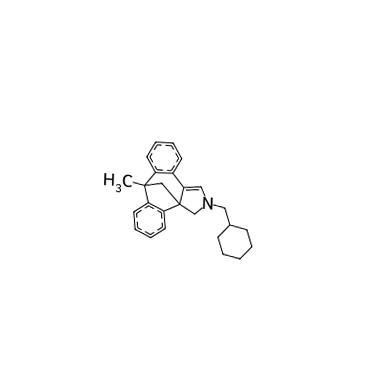 CC12CC3(CN(CC4CCCCC4)C=C3c3ccccc31)c1ccccc12